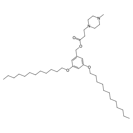 CCCCCCCCCCCCOc1cc(COC(=O)CCN2CCN(C)CC2)cc(OCCCCCCCCCCCC)c1